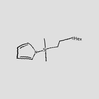 CCCCCCCC[Si](C)(C)n1cccc1